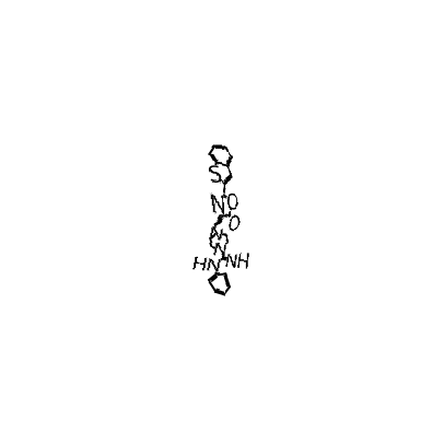 N=C(Nc1ccccc1)N1CCN(/C=C2/N=C(c3cc4ccccc4s3)OC2=O)CC1